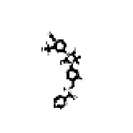 CC1(C)C(=O)N(c2ccc(C#N)c(C(F)(F)F)c2)C(=S)N1c1ccc(CNC(=O)c2ccncn2)c(F)c1